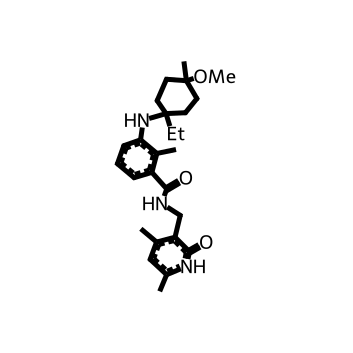 CCC1(Nc2cccc(C(=O)NCc3c(C)cc(C)[nH]c3=O)c2C)CCC(C)(OC)CC1